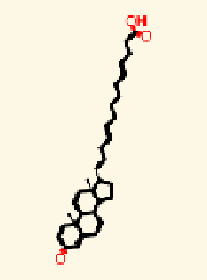 C[C@]12CCC(=O)C=C1CCC1C2CC[C@@]2(C)C1CC[C@@H]2CCCCCCCCCCCCCC(=O)O